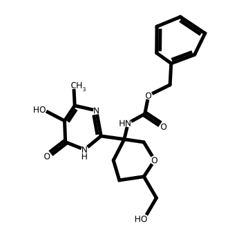 Cc1nc(C2(NC(=O)OCc3ccccc3)CCC(CO)OC2)[nH]c(=O)c1O